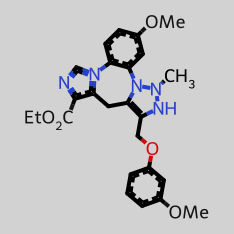 CCOC(=O)c1ncn2c1CC1=C(COc3cccc(OC)c3)NN(C)N1c1cc(OC)ccc1-2